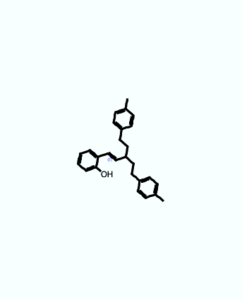 Cc1ccc(CCC(/C=C/c2ccccc2O)CCc2ccc(C)cc2)cc1